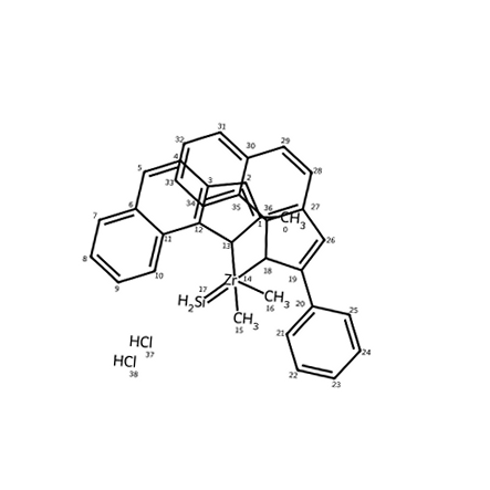 CC1=Cc2ccc3ccccc3c2[CH]1[Zr]([CH3])([CH3])(=[SiH2])[CH]1C(c2ccccc2)=Cc2ccc3ccccc3c21.Cl.Cl